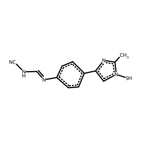 Cc1nc(-c2ccc(/N=C/NC#N)cc2)cn1S